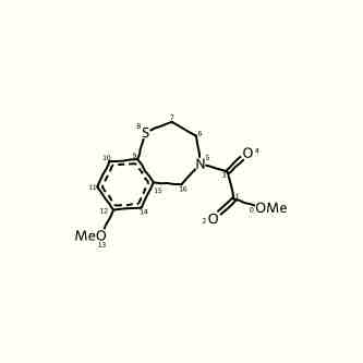 COC(=O)C(=O)N1CCSc2ccc(OC)cc2C1